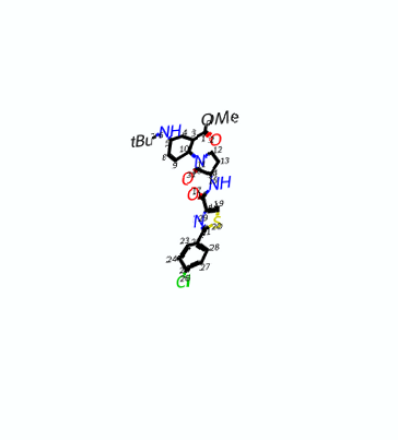 COC(=O)C1CC(NC(C)(C)C)CCC1N1CC[C@H](NC(=O)c2csc(-c3ccc(Cl)cc3)n2)C1=O